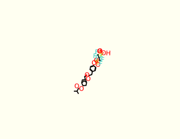 CC(C)C(=O)OC1CC2CC1CC2(C=O)OCCc1ccc(OS(=O)(=O)C(F)(F)C(F)(F)C(F)(F)S(=O)(=O)O)cc1